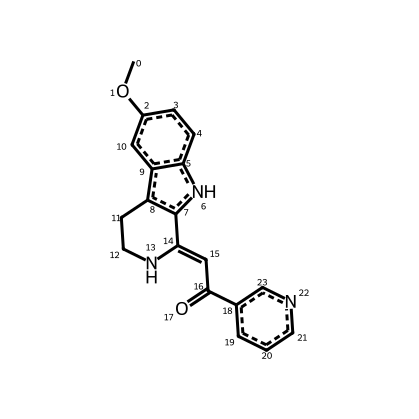 COc1ccc2[nH]c3c(c2c1)CCNC3=CC(=O)c1cccnc1